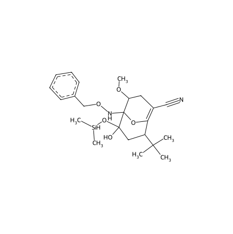 COC1CC(C#N)=C2OC1(NOCc1ccccc1)C(O)(O[SiH](C)C)CC2C(C)(C)C